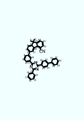 CC1(C)c2ccc(-c3cccc(-c4nc(-c5ccccc5)nc(-c5ccc(-c6ccccc6)cc5)n4)c3)cc2-c2c(C#N)cccc21